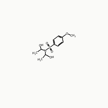 COc1ccc(S(=O)(=O)N(C(C)O)C(C)O)cc1